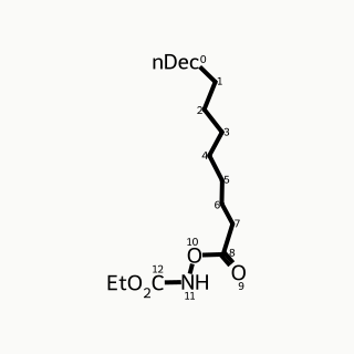 CCCCCCCCCCCCCCCCCC(=O)ONC(=O)OCC